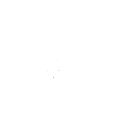 CC(C)C(=O)Oc1ccc(Cc2ncncn2)cc1